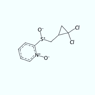 [O-][n+]1ccccc1[S+]([O-])CC1CC1(Cl)Cl